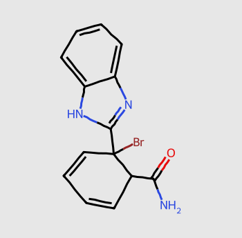 NC(=O)C1C=CC=CC1(Br)c1nc2ccccc2[nH]1